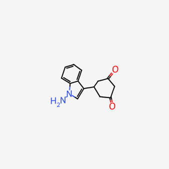 Nn1cc(C2CC(=O)CC(=O)C2)c2ccccc21